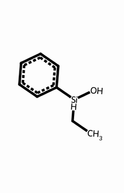 CC[SiH](O)c1ccccc1